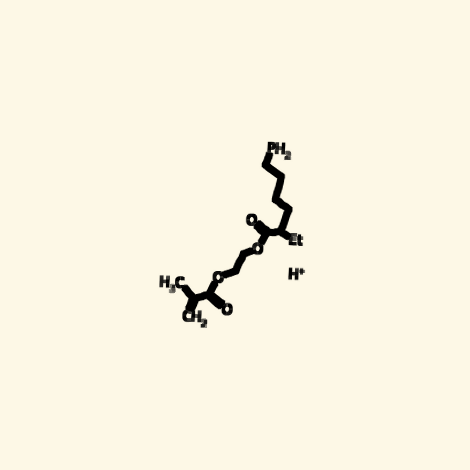 C=C(C)C(=O)OCCOC(=O)C(CC)CCCCP.[H+]